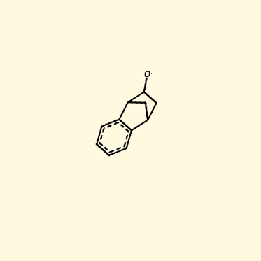 [O]C1CC2CC1c1ccccc12